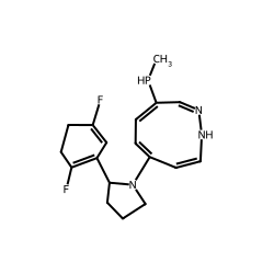 CPc1ccc(N2CCCC2C2=C(F)CCC(F)=C2)cc[nH]nc1